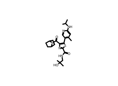 Cc1cc(NC(C)C)ncc1-c1sc(C(=O)NCC(C)(C)O)nc1C(=O)N1C2CCC1CC2